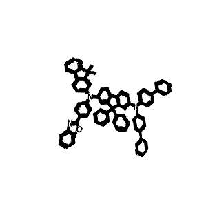 CC1(C)c2ccccc2-c2ccc(N(c3ccc(-c4nc5ccccc5o4)cc3)c3ccc4c(c3)C(c3ccccc3)(c3ccccc3)c3cc(N(c5ccc(-c6ccccc6)cc5)c5ccc(-c6ccccc6)cc5)ccc3-4)cc21